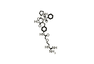 N=C(N)NCCOCC(=O)Nc1ccc(C[C@@H](C(=O)O)N(C(=O)[C@@H]2CCCN2)S(=O)(=O)c2ccccc2)cc1